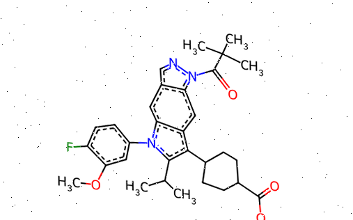 COC(=O)C1CCC(c2c(C(C)C)n(-c3ccc(F)c(OC)c3)c3cc4cnn(C(=O)C(C)(C)C)c4cc23)CC1